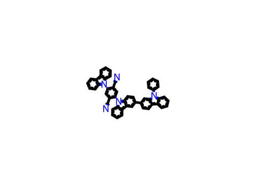 N#Cc1cc(-n2c3ccccc3c3cc(-c4ccc5c6ccccc6n(-c6ccccc6)c5c4)ccc32)c(C#N)cc1-n1c2ccccc2c2ccccc21